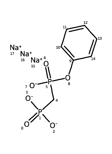 O=P([O-])([O-])CP(=O)([O-])Oc1ccccc1.[Na+].[Na+].[Na+]